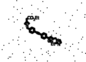 CCOC(=O)CC1CN(Cc2ccc(C#Cc3ccc(-c4cc(Cn5ccnc5CC)no4)cc3)cc2)C1